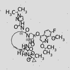 COc1c(F)ccc2c(O[C@@H]3C[C@H]4C(=O)N[C@]5(C(=O)NS(=O)(=O)C6(C)CC6)C[C@H]5C=CCCCCC[C@H](NC(=O)c5ccn(C(C)C)n5)C(=O)N4C3)cc(OC(C)C)nc12